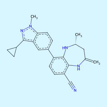 C=C1C[C@@H](C)Nc2c(-c3ccc4c(c3)c(C3CC3)nn4C)ccc(C#N)c2N1